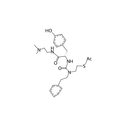 CC(=O)SCCN(CCc1ccccc1)C(=O)N[C@@H](Cc1ccc(O)cc1)C(=O)NCCN(C)C